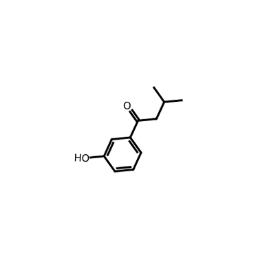 CC(C)CC(=O)c1cccc(O)c1